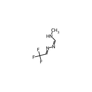 CN/C=N\N=C\C(F)(F)F